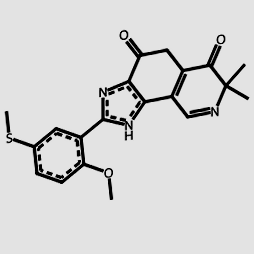 COc1ccc(SC)cc1-c1nc2c([nH]1)C1=C(CC2=O)C(=O)C(C)(C)N=C1